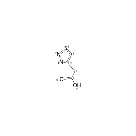 O=C(O)Cc1csnn1